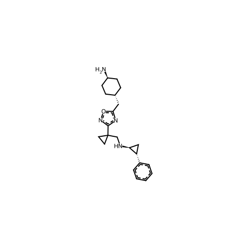 N[C@H]1CC[C@H](Cc2nc(C3(CN[C@H]4C[C@@H]4c4ccccc4)CC3)no2)CC1